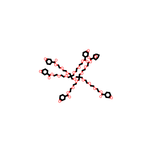 O=C(OCCOCCOCC(COCCOCCOCCOC(=O)C1CCC2OC2C1)(COCCOCCOC(=O)C1CCC2OC2C1)COCC(COCCOCCOC(=O)C1CCC2OC2C1)(COCCOCCOC(=O)C1CCC2OC2C1)COCCOCCOC(=O)C1CCC2OC2C1)C1CC2CC(C1)O2